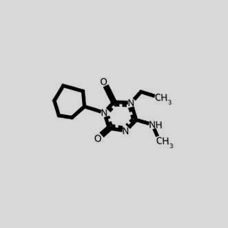 CCn1c(NC)nc(=O)n(C2CCCCC2)c1=O